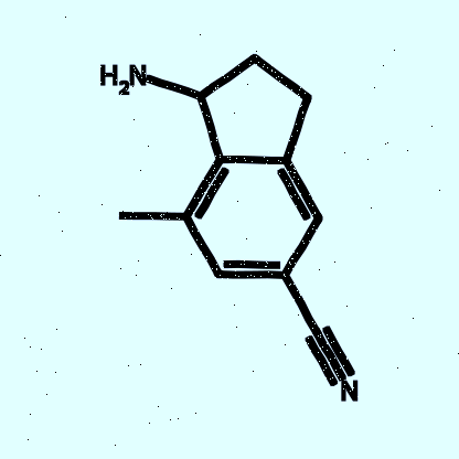 Cc1cc(C#N)cc2c1C(N)CC2